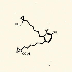 O=C(O)C1(CCCCCCc2ccc(O)c(O)c2CCCCCCC2(C(=O)O)CC2)CC1